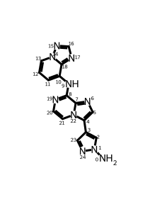 Nn1cc(-c2cnc3c(Nc4cccn5ncnc45)nccn23)cn1